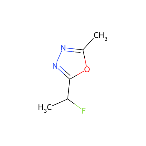 Cc1nnc(C(C)F)o1